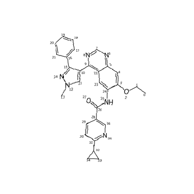 CCOc1cc2ncnc(-c3cn(C)nc3-c3ccccc3)c2cc1NC(=O)c1ccc(C2CC2)nc1